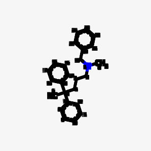 CN(CCCC(C#N)(c1ccccc1)c1ccccc1)Cc1ccccc1